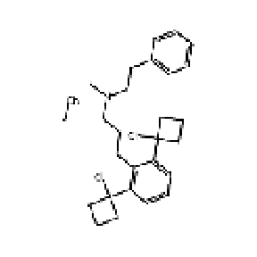 CC#N.CN(CCCc1c(C2(Cl)CCC2)cccc1C1(Cl)CCC1)CCc1ccccc1